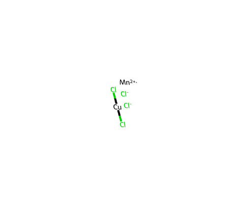 [Cl-].[Cl-].[Cl][Cu][Cl].[Mn+2]